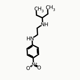 CCC(CC)NCCNc1ccc([N+](=O)[O-])cc1